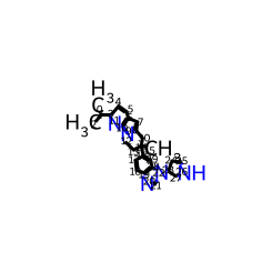 CC(C)c1ccc2cc3n(c2n1)CCC(C)(c1ccc2ncn(C4CCNC4)c2c1)C3